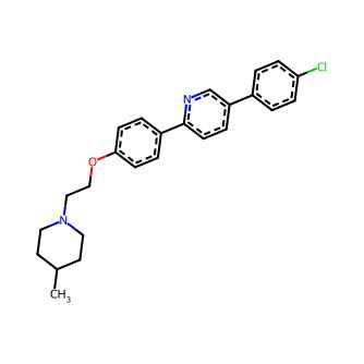 CC1CCN(CCOc2ccc(-c3ccc(-c4ccc(Cl)cc4)cn3)cc2)CC1